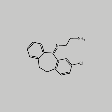 NCC/N=C1/c2ccccc2CCc2ccc(Cl)cc21